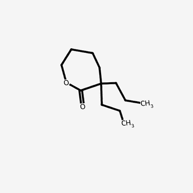 CCCC1(CCC)CCCCOC1=O